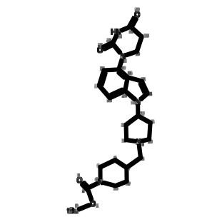 CC(C)(C)OC(=O)N1CCC(CN2CCC(n3ccc4c(N5CCC(=O)NC5=O)cccc43)CC2)CC1